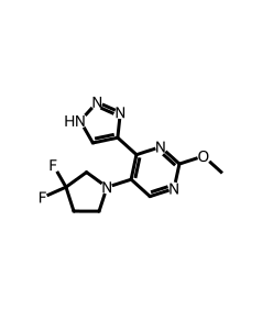 COc1ncc(N2CCC(F)(F)C2)c(-c2c[nH]nn2)n1